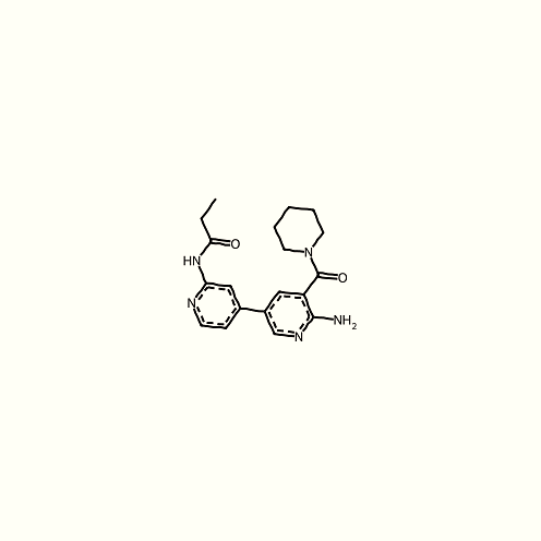 CCC(=O)Nc1cc(-c2cnc(N)c(C(=O)N3CCCCC3)c2)ccn1